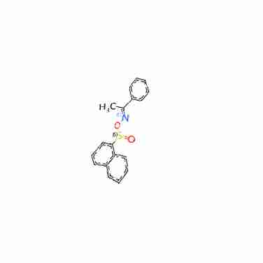 C/C(=N\O[S@](=O)c1cccc2ccccc12)c1ccccc1